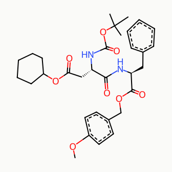 COc1ccc(COC(=O)[C@H](Cc2ccccc2)NC(=O)[C@H](CC(=O)OC2CCCCC2)NC(=O)OC(C)(C)C)cc1